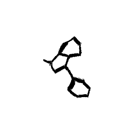 Cn1cc(-c2ccccc2)c2c[c]ccc21